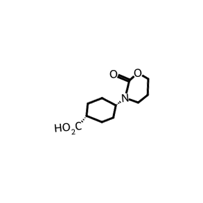 O=C1OCCCN1[C@H]1CC[C@@H](C(=O)O)CC1